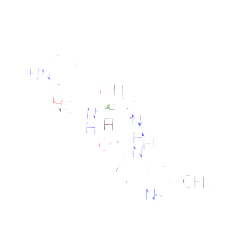 Cc1cncc(N[C@@H](CC2CC2)C(=O)N2[C@H]3CC[C@@H]([C@@H]2C(=O)N[C@H](C#N)C[C@H]2CCCNC2=O)C(F)(F)C3)c1